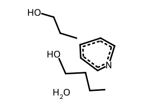 CCCCO.CCCO.O.c1ccncc1